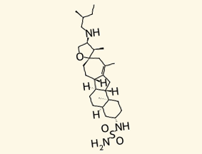 CC[C@H](C)CN[C@@H]1CO[C@]2(CC[C@@H]3C(=C(C)C2)C[C@H]2[C@H]3CC[C@@H]3C[C@@H](NS(N)(=O)=O)CC[C@@]32C)[C@@H]1C